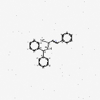 N#C[C@@H](/C=C/c1ccccc1)NC(c1ccccc1)c1ccccc1